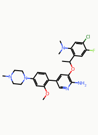 COc1cc(N2CCN(C)CC2)ccc1-c1cnc(N)c(OC(C)c2cc(F)c(Cl)cc2N(C)C)c1